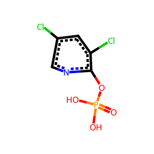 O=P(O)(O)Oc1ncc(Cl)cc1Cl